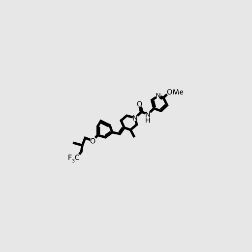 COc1ccc(NC(=O)N2CCC(=Cc3cccc(OCC(C)CC(F)(F)F)c3)C(C)C2)cn1